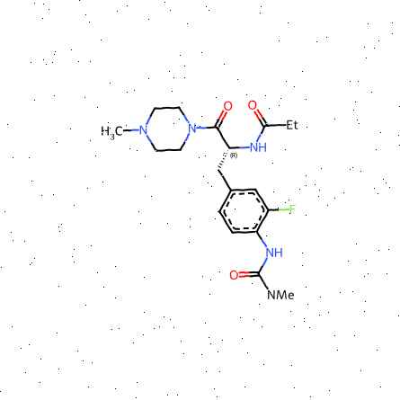 CCC(=O)N[C@H](Cc1ccc(NC(=O)NC)c(F)c1)C(=O)N1CCN(C)CC1